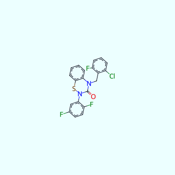 O=C1N(Cc2c(F)cccc2Cl)c2ccccc2SN1c1cc(F)ccc1F